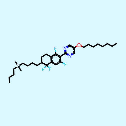 CCCCCCCCOc1cnc(-c2c(F)cc3c(c2F)CCC(CCCC[Si](C)(C)CCCC)C3(F)F)nc1